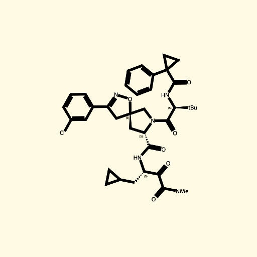 CNC(=O)C(=O)[C@H](CC1CC1)NC(=O)[C@@H]1C[C@]2(CC(c3cccc(Cl)c3)=NO2)CN1C(=O)[C@@H](NC(=O)C1(c2ccccc2)CC1)C(C)(C)C